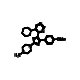 COc1ccc(-c2nc(N3CCN(C)CC3)sc2-c2n[c]ncc2C2CCCCC2)cc1